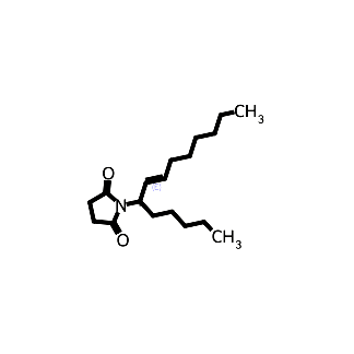 CCCCCC/C=C/[C](CCCCC)N1C(=O)CCC1=O